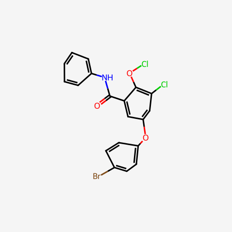 O=C(Nc1ccccc1)c1cc(Oc2ccc(Br)cc2)cc(Cl)c1OCl